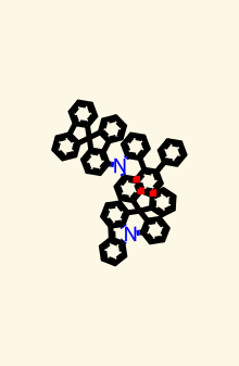 c1ccc(-c2ccccc2-c2ccccc2N(c2ccc3c(c2)-c2ccccc2C32c3ccccc3-n3c4ccccc4c4cccc2c43)c2cccc3c2-c2ccccc2C32c3ccccc3-c3ccccc32)cc1